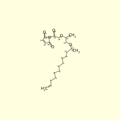 C=CCCCCCCCCCC(C)OCC(C)OCC(=O)N1C(=O)C=CC1=O